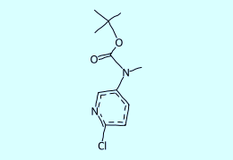 CN(C(=O)OC(C)(C)C)c1ccc(Cl)nc1